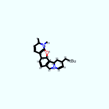 CC1C=CC2=C(OC3C4=C(C=CC23)CN2C=CC(CC(C)(C)C)CC42)N1C